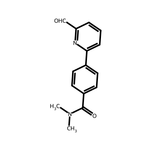 CN(C)C(=O)c1ccc(-c2cccc(C=O)n2)cc1